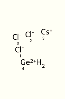 [Cl-].[Cl-].[Cl-].[Cs+].[GeH2+2]